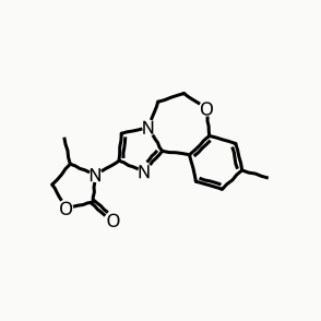 Cc1ccc2c(c1)OCCn1cc(N3C(=O)OCC3C)nc1-2